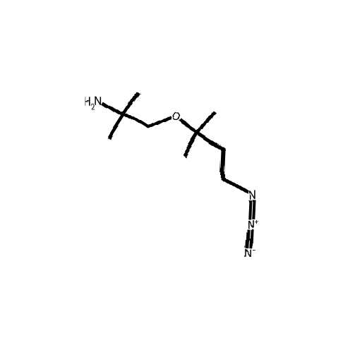 CC(C)(N)COC(C)(C)CCN=[N+]=[N-]